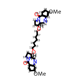 COc1ccc2c(c1)N=C[C@@H]1C(OCCCCCCCOC3CCN4C(=O)c5ccc(OC)cc5N=C[C@H]34)CCN1C2=O